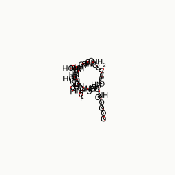 COCCOCCOCCOCCC(=O)NCCCC[C@@H]1NC(=O)CCSCc2cccc(c2)CSC[C@@H](C(N)=O)NC(=O)[C@]2(C)CCCN2C(=O)[C@H](Cc2ccc(O)cc2)NC(=O)[C@H](Cc2cnc[nH]2)NC(=O)[C@H](CC(=O)O)NC(=O)[C@H](CC2C=Nc3ccc(F)cc32)NC(=O)[C@H](Cc2c[nH]c3ccc(F)cc23)NC(=O)CNC1=O